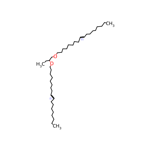 CCCCCCCC/C=C/CCCCCCCCOCC(CC)OCCCCCCCC/C=C/CCCCCCCC